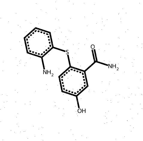 NC(=O)c1cc(O)ccc1Sc1ccccc1N